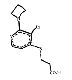 O=C(O)CCSc1ccnc(N2CCC2)c1Cl